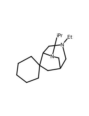 CCN1CC2CN(C(C)C)C(C1)C1(CCCCC1)C2